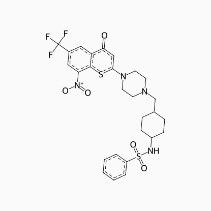 O=c1cc(N2CCN(CC3CCC(NS(=O)(=O)c4ccccc4)CC3)CC2)sc2c([N+](=O)[O-])cc(C(F)(F)F)cc12